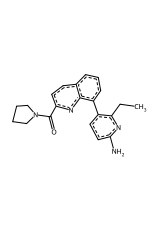 CCc1nc(N)ccc1-c1cccc2ccc(C(=O)N3CCCC3)nc12